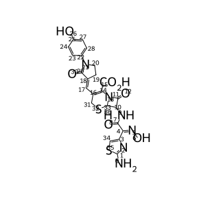 Nc1nc(C(=NO)C(=O)N[C@@H]2C(=O)N3C(C(=O)O)=C(C=C4CCN(c5ccc(O)cc5)C4=O)CS[C@H]23)cs1